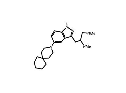 CNCC(Cc1n[nH]c2ccc(N3CCC4(CCCCC4)CC3)cc12)NC